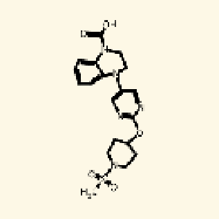 CS(=O)(=O)N1CCC(Oc2ncc(N3CCN(C(=O)O)c4ccccc43)cn2)CC1